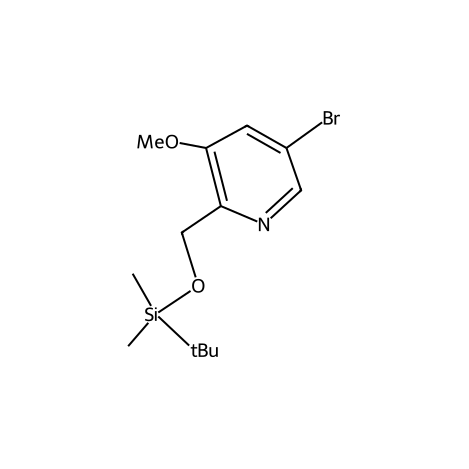 COc1cc(Br)cnc1CO[Si](C)(C)C(C)(C)C